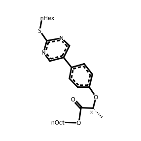 CCCCCCCCOC(=O)[C@@H](C)Oc1ccc(-c2cnc(SCCCCCC)nc2)cc1